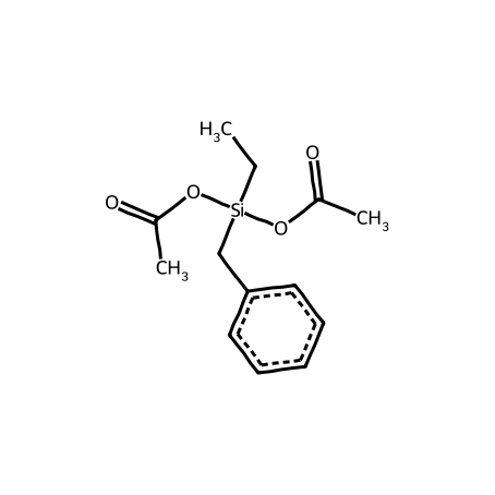 CC[Si](Cc1ccccc1)(OC(C)=O)OC(C)=O